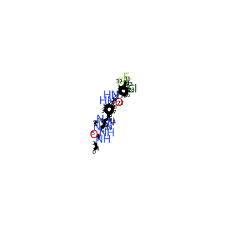 CCCNC(=O)Nc1ncnc2c1N=NC2c1ccc(NC(=O)Nc2ccc(Cl)c(C(F)(F)F)c2)cc1